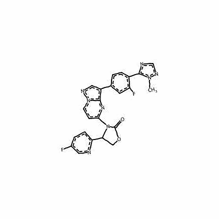 Cn1ncnc1-c1ccc(-c2cnn3ccc(N4C(=O)OCC4c4ccc(F)cn4)nc23)cc1F